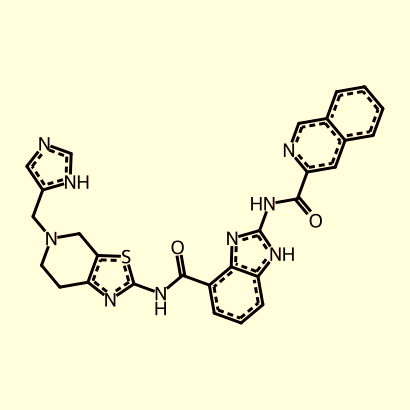 O=C(Nc1nc2c(C(=O)Nc3nc4c(s3)CN(Cc3cnc[nH]3)CC4)cccc2[nH]1)c1cc2ccccc2cn1